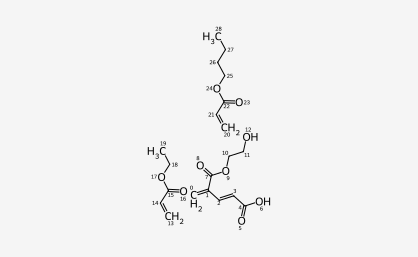 C=C(C=CC(=O)O)C(=O)OCCO.C=CC(=O)OCC.C=CC(=O)OCCCC